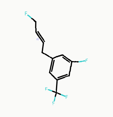 FC/C=C/Cc1cc(F)cc(C(F)(F)F)c1